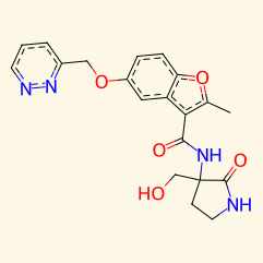 Cc1oc2ccc(OCc3cccnn3)cc2c1C(=O)NC1(CO)CCNC1=O